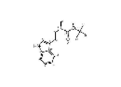 CN(CCc1c[nH]c2cccnc12)C(=O)OC(C)(C)C